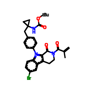 C=C(C)C(=O)N1CCc2c(n(-c3ccc(CC4(NC(=O)OC(C)(C)C)CC4)cc3)c3ccc(Br)cc23)C1=O